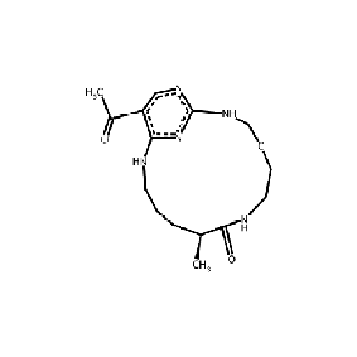 CC(=O)c1cnc2nc1NCCC[C@H](C)C(=O)NCCCCN2